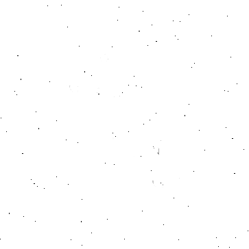 COC(=O)C(C)(C)CCc1coc(C)n1